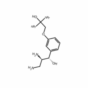 CCCC(O)(CCC)COc1cccc([C@H](O)[C@H](N)CN)c1